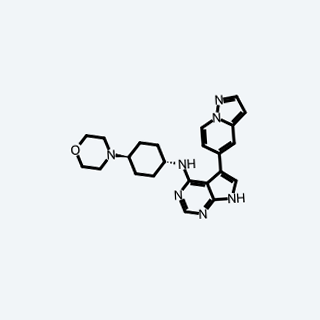 c1nc(N[C@H]2CC[C@H](N3CCOCC3)CC2)c2c(-c3ccn4nccc4c3)c[nH]c2n1